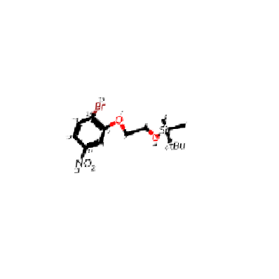 CC(C)(C)[Si](C)(C)OCCOc1cc([N+](=O)[O-])ccc1Br